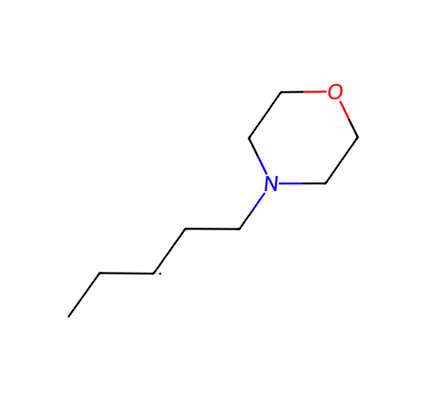 CC[CH]CCN1CCOCC1